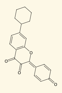 O=C1C=CC(=C2Oc3cc(C4CCCCC4)ccc3C(=O)C2=O)C=C1